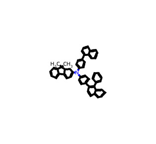 CC1(C)c2ccccc2C2=CC=C(N(c3ccc(-c4ccc5ccccc5c4-c4ccccc4)cc3)c3ccc(-c4cccc5ccccc45)cc3)CC21